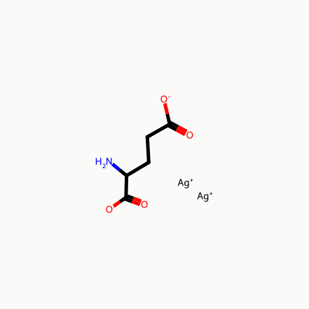 NC(CCC(=O)[O-])C(=O)[O-].[Ag+].[Ag+]